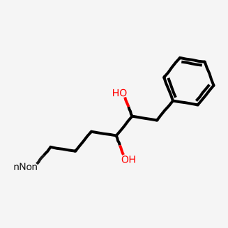 CCCCCCCCCCCCC(O)C(O)Cc1ccccc1